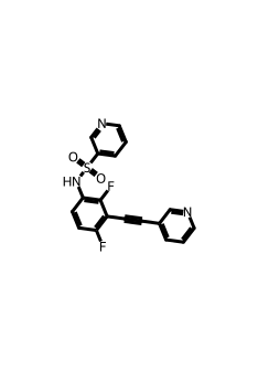 O=S(=O)(Nc1ccc(F)c(C#Cc2cccnc2)c1F)c1cccnc1